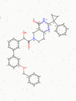 O=C(C(O)c1cccc(-c2cccc(OCc3ccccc3)c2)c1)N1CCc2nc(C3(c4ccccc4)CC3)[nH]c(=O)c2C1